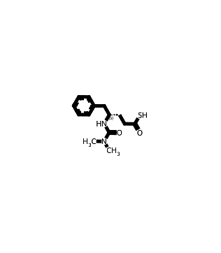 CN(C)C(=O)N[C@@H](CCC(=O)S)Cc1ccccc1